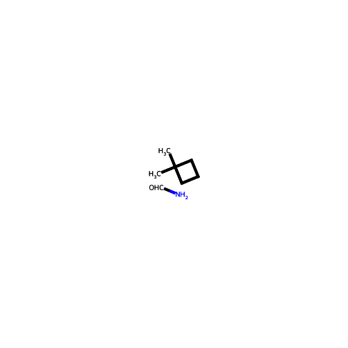 CC1(C)CCC1.NC=O